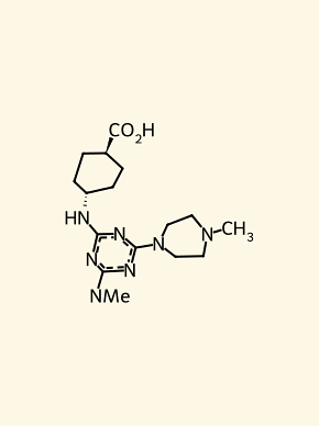 CNc1nc(N[C@H]2CC[C@H](C(=O)O)CC2)nc(N2CCN(C)CC2)n1